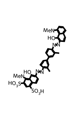 CNc1cccc2ccc(N=Nc3ccc(-c4ccc(N=Nc5ccc6c(S(=O)(=O)O)cc(S(=O)(=O)O)c(NC)c6c5O)c(C)c4)cc3C)c(O)c12